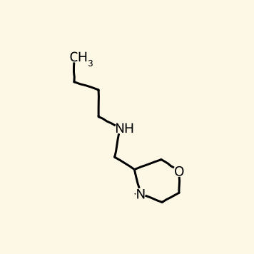 CCCCNCC1COCC[N]1